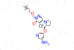 C[Si](C)(C)CCOCn1ncc(N2CCC[C@H]2COc2cncc(N)c2)c(C(F)(F)F)c1=O